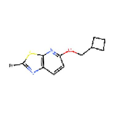 CC(C)c1nc2ccc(OCC3CCC3)nc2s1